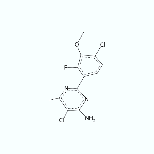 COc1c(Cl)ccc(-c2nc(C)c(Cl)c(N)n2)c1F